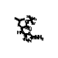 CC(C)C[C@H](Nc1nnc(N)s1)C(=O)OC(C)(C)C